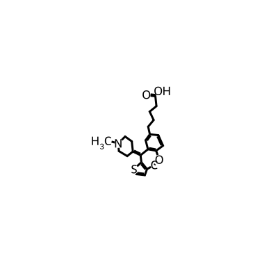 CN1CCC(=C2c3cc(CCCCC(=O)O)ccc3OCc3ccsc32)CC1